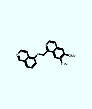 COc1cc2ccnc(COc3cccc4cnccc34)c2cc1OC